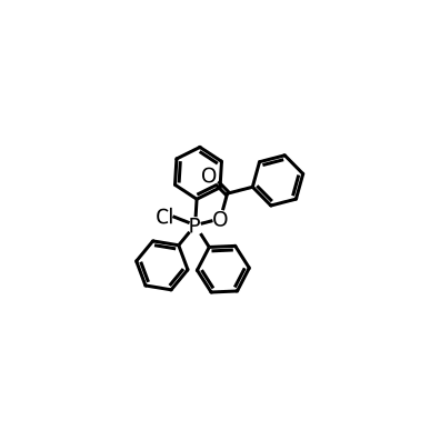 O=C(OP(Cl)(c1ccccc1)(c1ccccc1)c1ccccc1)c1ccccc1